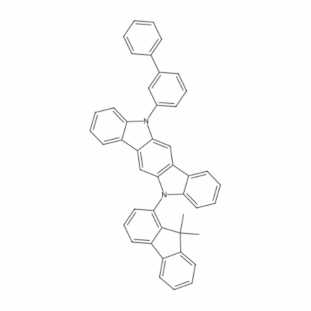 CC1(C)c2ccccc2-c2cccc(-n3c4ccccc4c4cc5c(cc43)c3ccccc3n5-c3cccc(-c4ccccc4)c3)c21